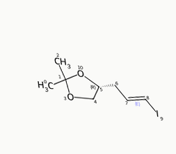 CC1(C)OC[C@@H](C/C=C/I)O1